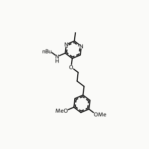 CCCCNc1nc(C)ncc1OCCCc1cc(OC)cc(OC)c1